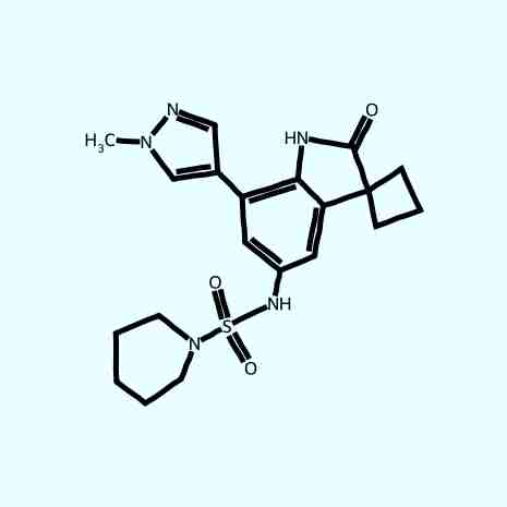 Cn1cc(-c2cc(NS(=O)(=O)N3CCCCC3)cc3c2NC(=O)C32CCC2)cn1